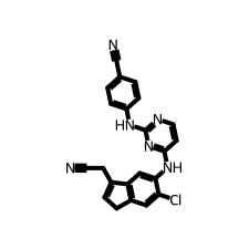 N#CCC1=CCc2cc(Cl)c(Nc3ccnc(Nc4ccc(C#N)cc4)n3)cc21